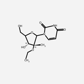 CCO[C@@]1(C)C(n2ccc(=O)[nH]c2=O)OC(CO)[C@H]1O